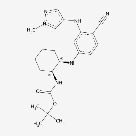 Cn1cc(Nc2cc(N[C@@H]3CCCC[C@@H]3NC(=O)OC(C)(C)C)ccc2C#N)cn1